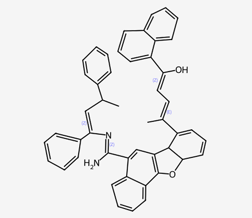 C/C(=C\C=C(/O)c1cccc2ccccc12)C1=CC=CC2Oc3c(cc(/C(N)=N/C(=C\C(C)c4ccccc4)c4ccccc4)c4ccccc34)C12